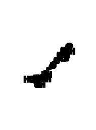 CC(=O)ON(C(=O)Nc1ccccc1)c1cccc(COCCOCCCCCNC[C@@H](O)c2ccc(O)c(CO)c2)c1